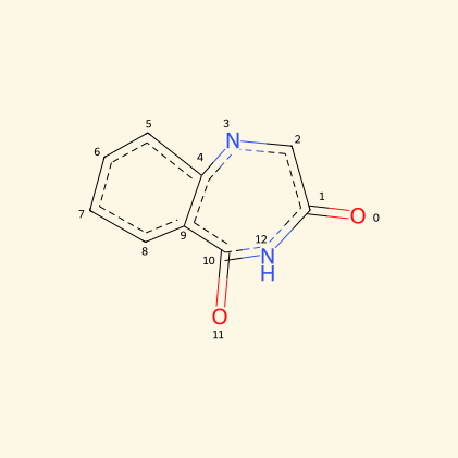 O=c1cnc2ccccc2c(=O)[nH]1